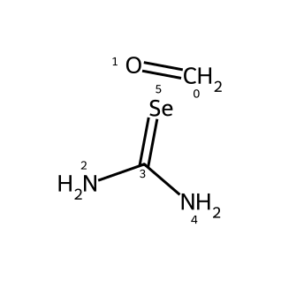 C=O.NC(N)=[Se]